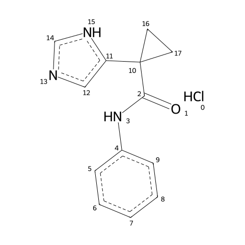 Cl.O=C(Nc1ccccc1)C1(c2cnc[nH]2)CC1